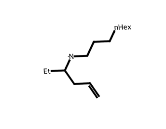 C=CCC(CC)[N]CCCCCCCCC